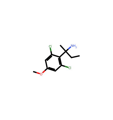 CCC(C)(N)c1c(Cl)cc(OC)cc1Cl